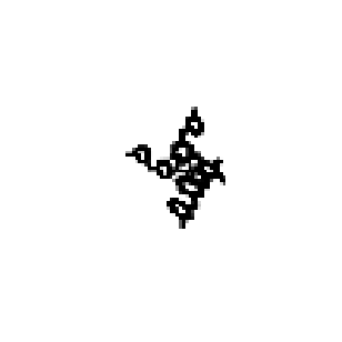 CC1=C(C)C(C)C([Si](c2ccc(Cc3cccc(C)c3)cc2)(c2ccc(Cc3cccc(C)c3)cc2)c2ccc(Cc3cccc(C)c3)cc2)=C1C